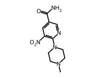 CN1CCN(c2ncc(C(N)=O)cc2[N+](=O)[O-])CC1